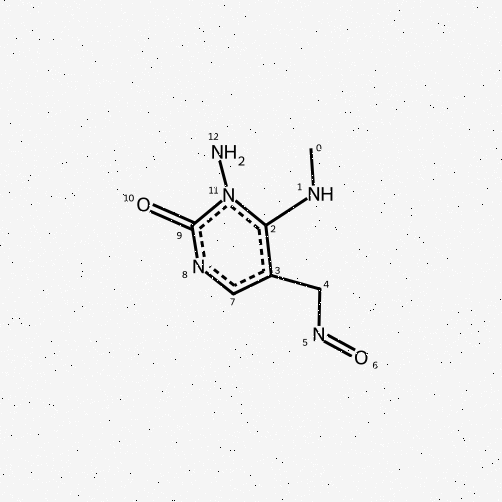 CNc1c(CN=O)cnc(=O)n1N